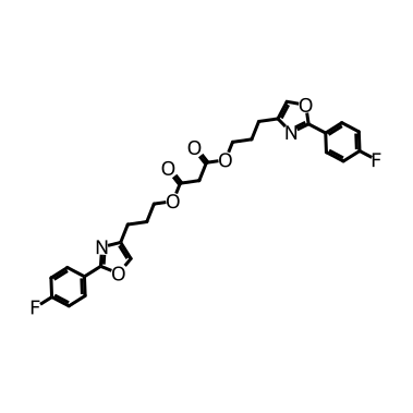 O=C(CC(=O)OCCCc1coc(-c2ccc(F)cc2)n1)OCCCc1coc(-c2ccc(F)cc2)n1